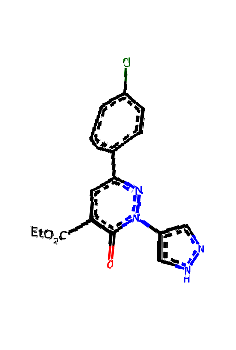 CCOC(=O)c1cc(-c2ccc(Cl)cc2)nn(-c2cn[nH]c2)c1=O